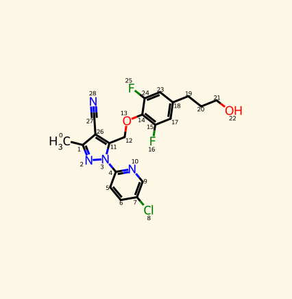 Cc1nn(-c2ccc(Cl)cn2)c(COc2c(F)cc(CCCO)cc2F)c1C#N